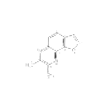 Cc1nc2ccc3cnoc3c2nc1C